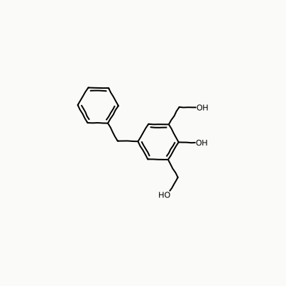 OCc1cc(Cc2ccccc2)cc(CO)c1O